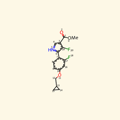 COC(=O)c1c[nH]c(-c2ccc(OCC3CC3)cc2F)c1F